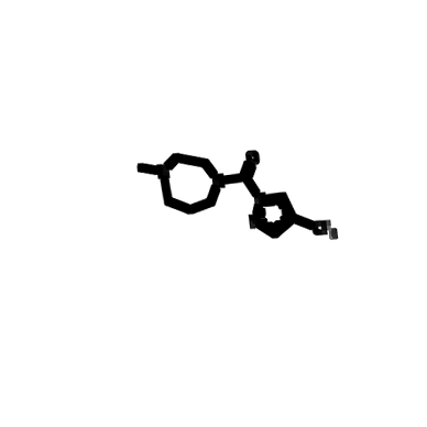 CN1CCCN(C(=O)n2cc(C(F)(F)F)cn2)CC1